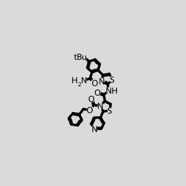 CC(C)(C)c1ccc(-c2csc(NC(=O)C3CSC(c4ccncc4)N3C(=O)OCc3ccccc3)n2)c(C(N)=O)c1